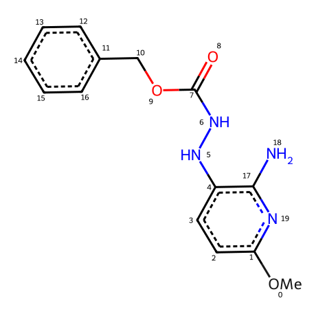 COc1ccc(NNC(=O)OCc2ccccc2)c(N)n1